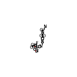 CN(C)C/C=C/C(=O)N1CC(S(=O)(=O)c2ccc(N3CC(CN4CCC([C@@](CN5CCC5)(c5cccc(F)c5)[C@H]5CCC[C@@H]5NC(=O)O)CC4)C3)cc2)C1